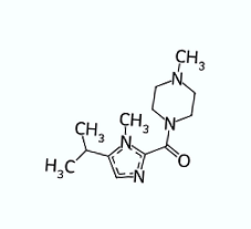 CC(C)c1cnc(C(=O)N2CCN(C)CC2)n1C